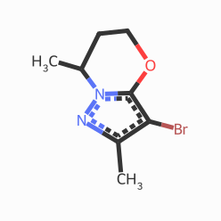 Cc1nn2c(c1Br)OCCC2C